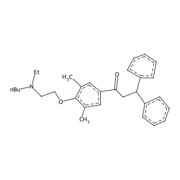 CCCCN(CC)CCOc1c(C)cc(C(=O)CC(c2ccccc2)c2ccccc2)cc1C